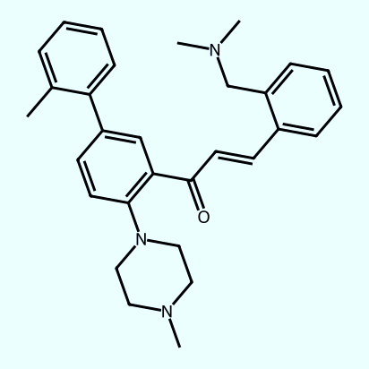 Cc1ccccc1-c1ccc(N2CCN(C)CC2)c(C(=O)/C=C/c2ccccc2CN(C)C)c1